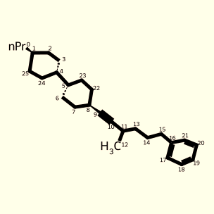 CCC[C@H]1CC[C@H]([C@H]2CC[C@H](C#CC(C)CCCc3ccccc3)CC2)CC1